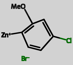 COc1cc(Cl)cc[c]1[Zn+].[Br-]